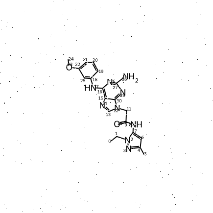 CCn1nc(C)cc1NC(=O)Cn1cnc2c(Nc3cccc(OC)c3)nc(N)nc21